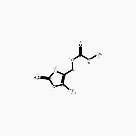 C=C1OC(C)=C(COC(=O)SCCC)O1